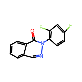 O=c1c2ccccc2cnn1-c1ccc(F)cc1F